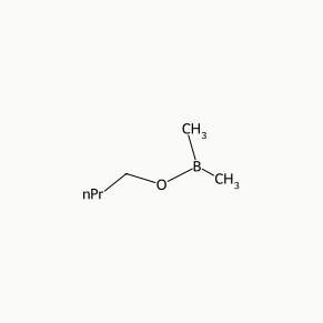 CCCCOB(C)C